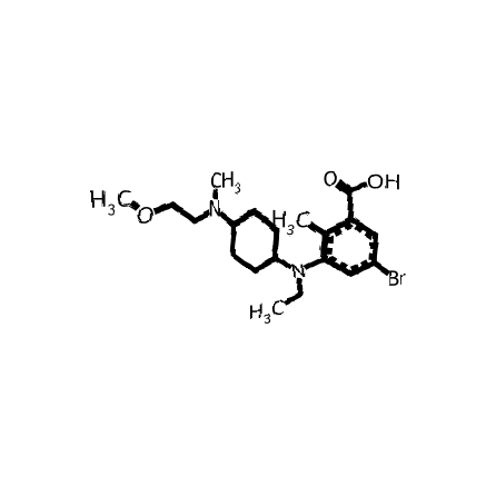 CCN(c1cc(Br)cc(C(=O)O)c1C)C1CCC(N(C)CCOC)CC1